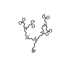 COC(=O)CCN(CCC[Si](C)(C)CCC[Si](C)(CCCCBr)CCC[Si](C)(C)CCCN(CCC(=O)OC)CCC(=O)OC)CCC(=O)OC